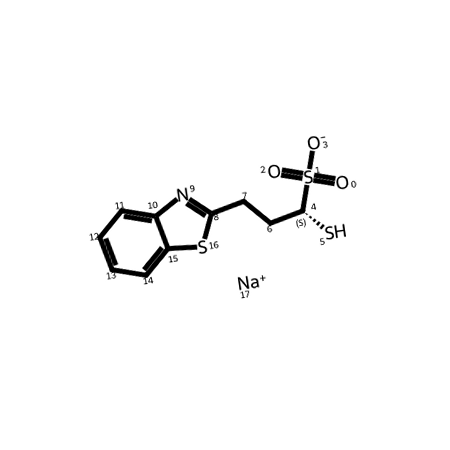 O=S(=O)([O-])[C@H](S)CCc1nc2ccccc2s1.[Na+]